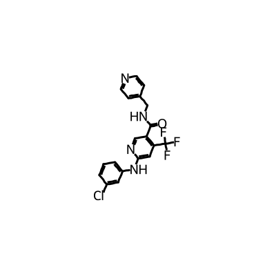 O=C(NCc1ccncc1)c1cnc(Nc2cccc(Cl)c2)cc1C(F)(F)F